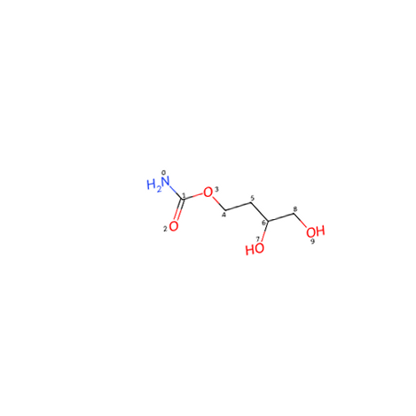 NC(=O)OCCC(O)CO